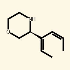 C/C=C\C(=C/C)[C@H]1COCCN1